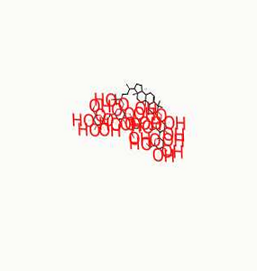 C[C@H](CC[C@@H](O[C@@H]1O[C@H](CO[C@@H]2O[C@H](CO)[C@@H](O)[C@H](O)[C@H]2O)[C@@H](O)[C@H](O)[C@H]1O[C@@H]1O[C@H](CO)C[C@H](O)[C@H]1O)C(C)(C)O)C1CC[C@@]2(C)C3CC=C4C(CC[C@H](O[C@@H]5O[C@H](CO)C([C@@H]6O[C@H](CO)[C@@H](O)[C@H](O)[C@H]6O)[C@H](O)[C@H]5O)C4(C)C)[C@]3(C)[C@H](O)C[C@]12C